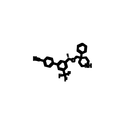 C[C@H](OCC1(c2ccccc2)CCNCC1)c1cc(-c2ccc(C#N)cc2)cc(C(F)(F)F)c1